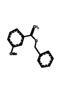 C=C(OCc1ccccc1)c1cccc(OC)c1